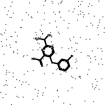 CC(C)c1ncc(Sc2cccc(Br)c2)c(C(=O)O)n1